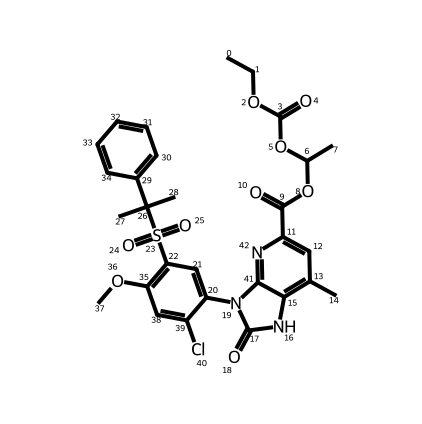 CCOC(=O)OC(C)OC(=O)c1cc(C)c2[nH]c(=O)n(-c3cc(S(=O)(=O)C(C)(C)c4ccccc4)c(OC)cc3Cl)c2n1